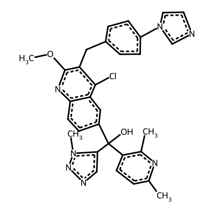 COc1nc2ccc(C(O)(c3ccc(C)nc3C)c3cnnn3C)cc2c(Cl)c1Cc1ccc(-n2ccnc2)cc1